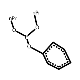 CCCOP(OCCC)Oc1ccccc1